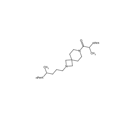 CCCCCCC(C)C(=O)N1CCC2(CC1)CN(CCCC(C)CCCCC)C2